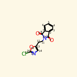 O=C1c2ccccc2C(=O)N1CCc1cnc(Cl)o1